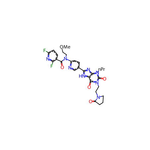 CCCn1c(=O)n(CCN2CCCC2=O)c(=O)c2[nH]c(-c3ccc(N(CCOC)C(=O)c4ccc(F)nc4F)nc3)nc21